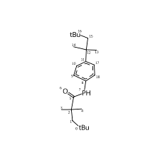 CC(C)(C)CC(C)(C)C(=O)Pc1ccc(C(C)(C)CC(C)(C)C)cc1